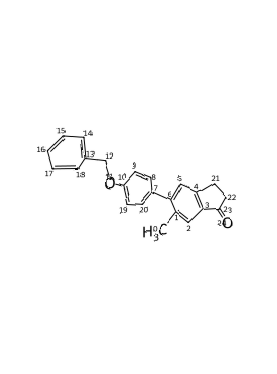 Cc1cc2c(cc1-c1ccc(OCc3ccccc3)cc1)CCC2=O